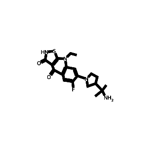 CCn1c2cc(N3CCC(C(C)(C)N)C3)c(F)cc2c(=O)c2c(=O)[nH]sc21